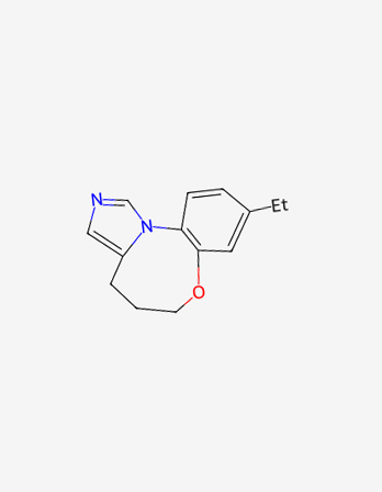 CCc1ccc2c(c1)OCCCc1cncn1-2